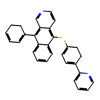 C1=CCCC(c2c3ccccc3c(SC3=CC=C(c4ccccn4)CC3)c3ccncc23)=C1